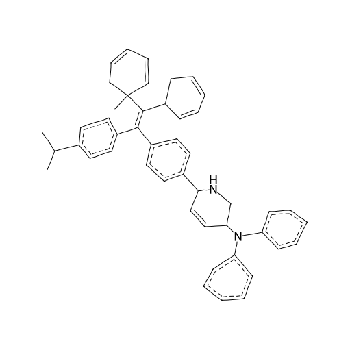 CC(C)c1ccc(/C(=C(/C2C=CC=CC2)C2(C)C=CC=CC2)c2ccc(C3C=CC(N(c4ccccc4)c4ccccc4)CN3)cc2)cc1